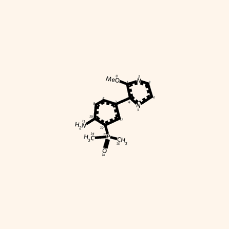 COc1nccnc1-c1ccc(N)c(P(C)(C)=O)c1